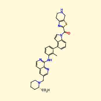 Cc1c(Nc2nccc3cc(CN4CCCC[C@H]4C(=O)O)cnc23)cccc1-c1cccc2c1ccn2C(=O)c1nc2c(s1)CNCC2